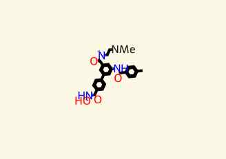 CNCCN(C)C(=O)c1cc(NC(=O)c2ccc(C)cc2)cc(-c2ccc(C(=O)NO)cc2)c1